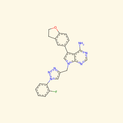 Nc1ncnc2c1c(-c1ccc3c(c1)CCO3)cn2Cc1cn(-c2ccccc2F)nn1